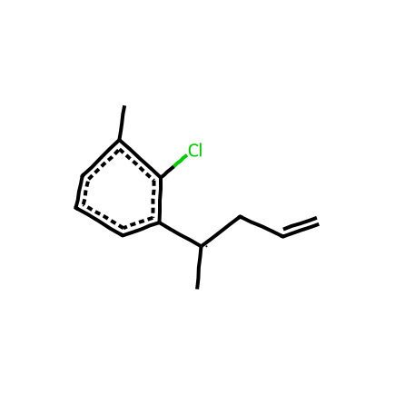 C=CC[C](C)c1cccc(C)c1Cl